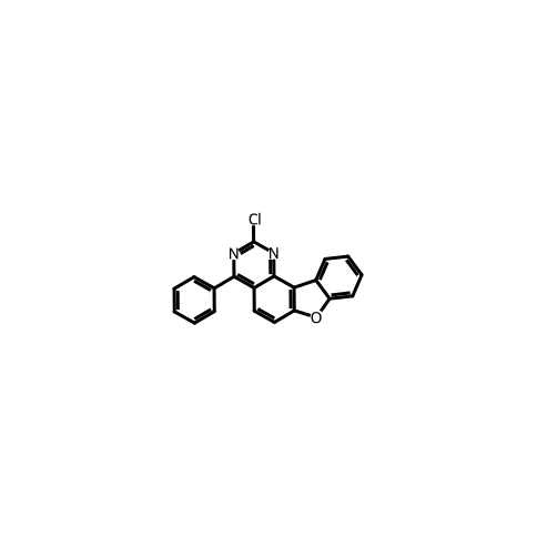 Clc1nc(-c2ccccc2)c2ccc3oc4ccccc4c3c2n1